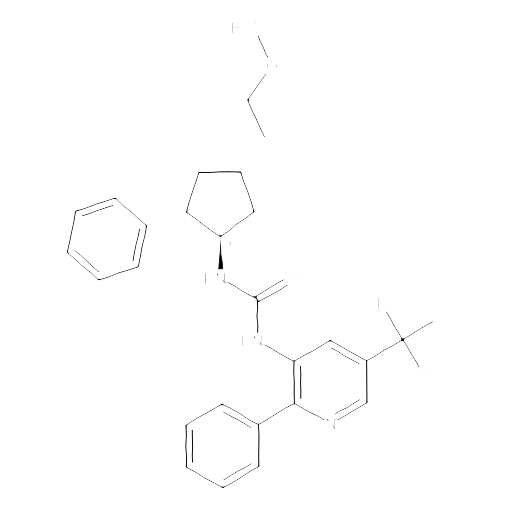 COCC[C@@H]1C[C@@H](NC(=O)Nc2cc(C(F)(F)F)cnc2-c2ccccc2)[C@H](c2ccccc2)C1